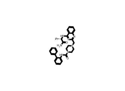 CC(C)[C@H](Nc1nc(CN2CCN(C(=O)Nc3ccccc3-c3ccccc3)CC2)nc2ccccc12)C(N)=O